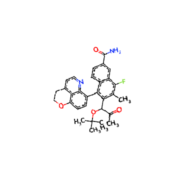 CC(=O)C(OC(C)(C)C)c1c(C)c(F)c2cc(C(N)=O)ccc2c1-c1ccc2c3c(ccnc13)CCO2